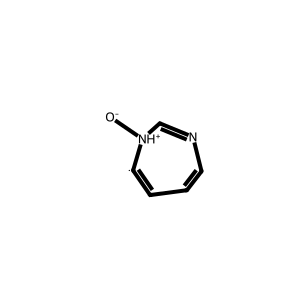 [O-][NH+]1[C]=CC=CN=C1